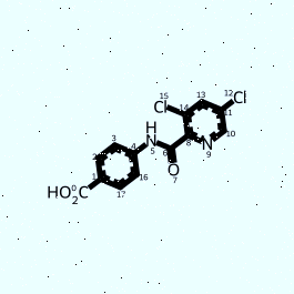 O=C(O)c1ccc(NC(=O)c2ncc(Cl)cc2Cl)cc1